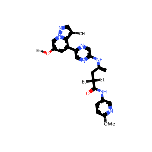 C=C(CC(CC)(CC)C(=O)Nc1ccc(OC)nc1)Nc1cnc(-c2cc(OCC)cn3ncc(C#N)c23)cn1